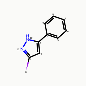 Ic1cc(-c2ccccc2)[nH]n1